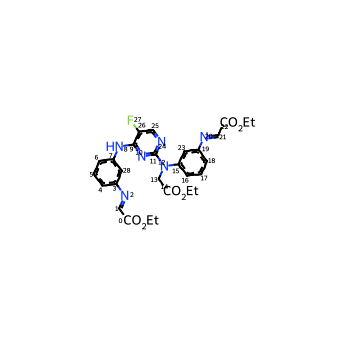 CCOC(=O)C=Nc1cccc(Nc2nc(N(CC(=O)OCC)c3cccc(N=CC(=O)OCC)c3)ncc2F)c1